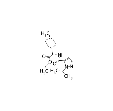 CCOC(=O)[C@@H](NC(=O)c1ccnn1C(C)C)[C@H]1CC[C@H](C)CC1